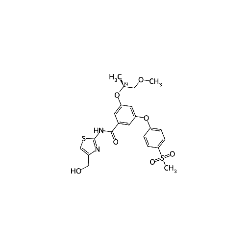 COC[C@H](C)Oc1cc(Oc2ccc(S(C)(=O)=O)cc2)cc(C(=O)Nc2nc(CO)cs2)c1